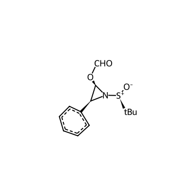 CC(C)(C)[S@+]([O-])N1[C@H](OC=O)[C@@H]1c1ccccc1